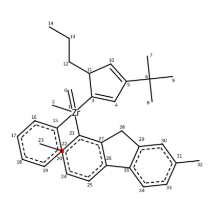 [CH2]=[Zr]([CH3])([C]1=CC(C(C)(C)C)=CC1CCC)([c]1ccccc1)[c]1c(C)ccc2c1Cc1cc(C)ccc1-2